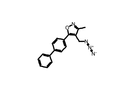 Cc1noc(-c2ccc(-c3ccccc3)cc2)c1CN=[N+]=[N-]